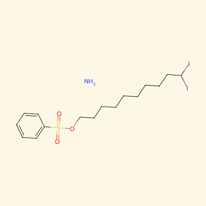 N.O=S(=O)(OCCCCCCCCCC(I)I)c1ccccc1